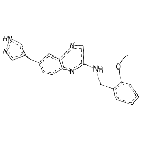 COc1ccccc1CNc1cnc2cc(-c3cn[nH]c3)ccc2n1